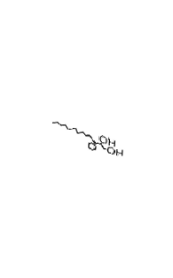 CCCCCCCCC=CC(=O)C(O)CO